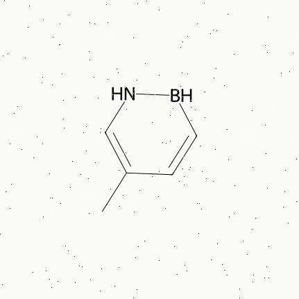 CC1=CNBC=C1